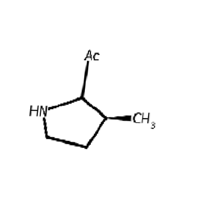 CC(=O)C1NCC[C@@H]1C